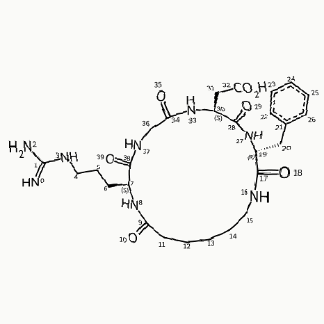 N=C(N)NCCC[C@@H]1NC(=O)CCCCCNC(=O)[C@@H](Cc2ccccc2)NC(=O)[C@H](CC(=O)O)NC(=O)CNC1=O